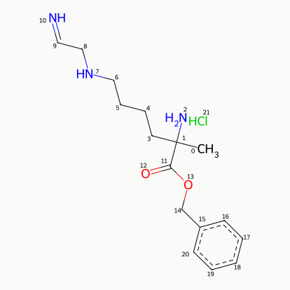 CC(N)(CCCCNCC=N)C(=O)OCc1ccccc1.Cl